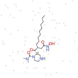 CCCCCCCCCCC(CC(=O)NO)C(=O)[C@@H]1CNCCN1C(=O)N(C)C